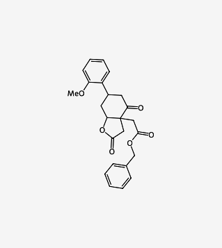 COc1ccccc1C1CC(=O)C2(CC(=O)OCc3ccccc3)CC(=O)OC2C1